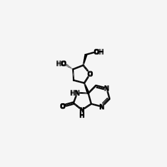 O=C1NC2N=CN=CC2([C@H]2C[C@H](O)[C@@H](CO)O2)N1